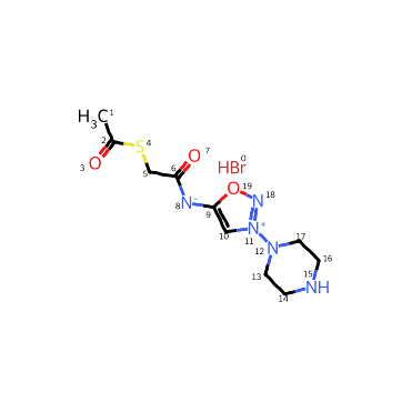 Br.CC(=O)SCC(=O)[N-]c1c[n+](N2CCNCC2)no1